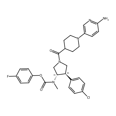 CN(C(=O)Oc1ccc(F)cc1)[C@@H]1CN(C(=O)C2CCN(c3ccc(N)nc3)CC2)C[C@H]1c1ccc(Cl)cc1